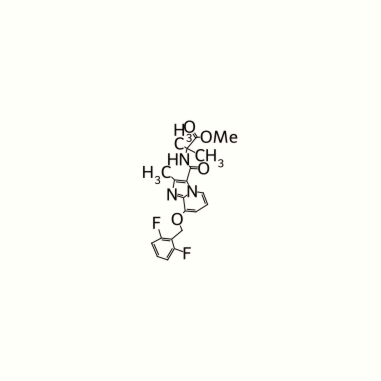 COC(=O)C(C)(C)NC(=O)c1c(C)nc2c(OCc3c(F)cccc3F)cccn12